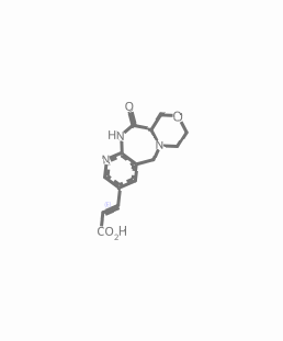 O=C(O)/C=C/c1cnc2c(c1)CN1CCOCC1C(=O)N2